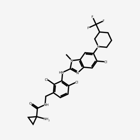 Cn1c(Nc2c(Cl)ccc(CNC(=O)C3(N)CC3)c2Cl)nc2cc(Cl)c(N3CCCC(C(F)(F)F)C3)cc21